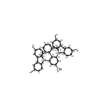 Cc1ccc2c(c1)c1cc(C)ccc1n2-c1cc(C#N)cc(-n2c3ccc(C)cc3c3cc(C)ccc32)c1-c1c(F)cccc1C(F)(F)F